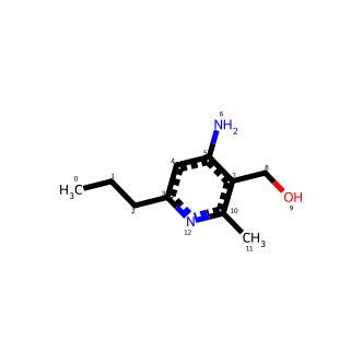 CCCc1cc(N)c(CO)c(C)n1